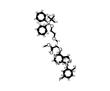 COC(=O)[C@H](COCCO[Si](c1ccccc1)(c1ccccc1)C(C)(C)C)Oc1ncnc2c1cnn2-c1cc(F)ccc1C